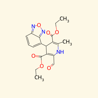 CCOC(=O)C1=C(C)NC(C=O)=C(C(=O)OCC)C1c1cccc2nonc12